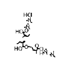 C=C(CC)C(=O)O.CC=C(C)C(=O)O.CCC=C(C)C(=O)O.CN(C)C.CN(C)C.CN(C)C.CN(C)C.Cl